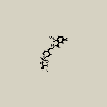 CNC(=S)NS(=O)(=O)N1CCC(CCNC(=O)c2cc(Cl)ccc2OC)CC1